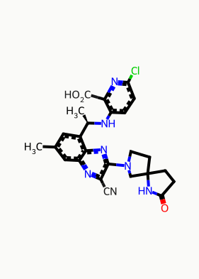 Cc1cc([C@@H](C)Nc2ccc(Cl)nc2C(=O)O)c2nc(N3CCC4(CCC(=O)N4)C3)c(C#N)nc2c1